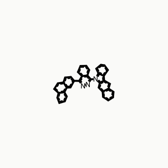 c1ccc2cc3c(cc2c1)c1ccccc1n3-c1nnc(-c2ccc3ccc4ccccc4c3c2)c2ccccc12